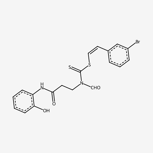 O=CN(CCC(=O)Nc1ccccc1O)C(=S)S/C=C\c1cccc(Br)c1